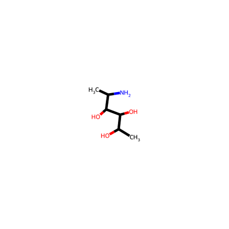 CC(N)C(O)C(O)C(C)O